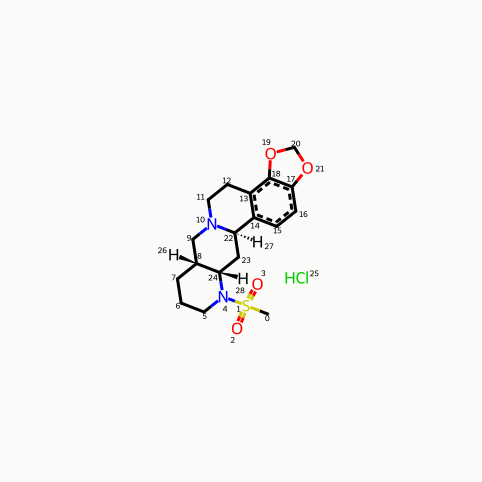 CS(=O)(=O)N1CCC[C@@H]2CN3CCc4c(ccc5c4OCO5)[C@H]3C[C@@H]21.Cl